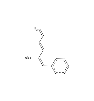 C=CC=CC(=Cc1ccccc1)CCCC